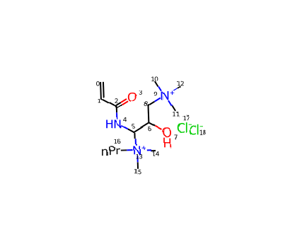 C=CC(=O)NC(C(O)C[N+](C)(C)C)[N+](C)(C)CCC.[Cl-].[Cl-]